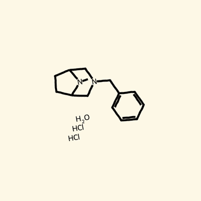 CN1C2CCC1CN(Cc1ccccc1)C2.Cl.Cl.O